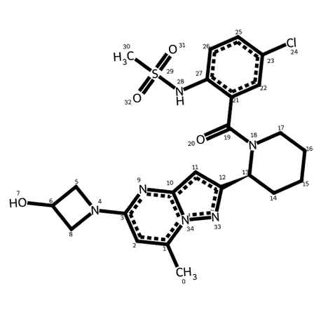 Cc1cc(N2CC(O)C2)nc2cc([C@@H]3CCCCN3C(=O)c3cc(Cl)ccc3NS(C)(=O)=O)nn12